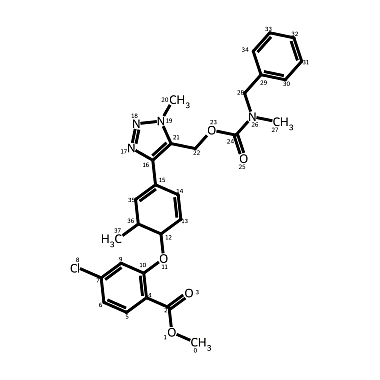 COC(=O)c1ccc(Cl)cc1OC1C=CC(c2nnn(C)c2COC(=O)N(C)Cc2ccccc2)=CC1C